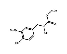 CCCCCCCCOC(=O)N(O)Cc1ccc(O)c(OC)c1